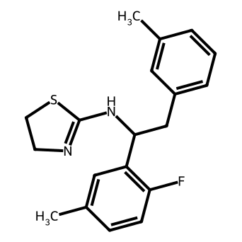 Cc1cccc(CC(NC2=NCCS2)c2cc(C)ccc2F)c1